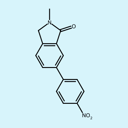 CN1Cc2ccc(-c3ccc([N+](=O)[O-])cc3)cc2C1=O